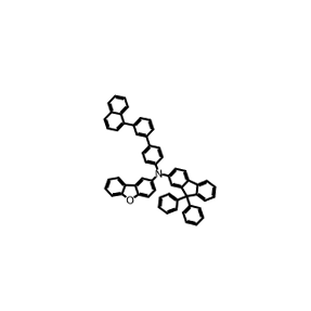 c1ccc(C2(c3ccccc3)c3ccccc3-c3ccc(N(c4ccc(-c5cccc(-c6cccc7ccccc67)c5)cc4)c4ccc5oc6ccccc6c5c4)cc32)cc1